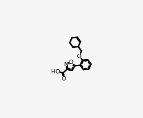 O=C(O)c1cc(-c2ccccc2OCC2C=CCCC2)on1